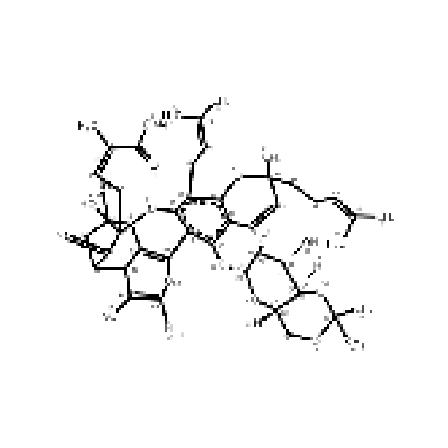 COC(=O)/C(C)=C\CC1(O)C(=O)C2CC(C(C)C)C13Oc1c(CC=C(C)C)c4c(c(O[C@H]5O[C@H]6COC(C)(C)O[C@@H]6[C@@H](O)[C@@H]5O)c1C1=C3C2C(C#N)=C(N)O1)C=CC(C)(CCC=C(C)C)O4